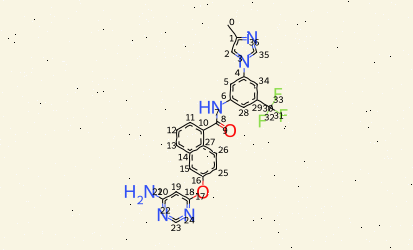 Cc1cn(-c2cc(NC(=O)c3cccc4cc(Oc5cc(N)ncn5)ccc34)cc(C(F)(F)F)c2)cn1